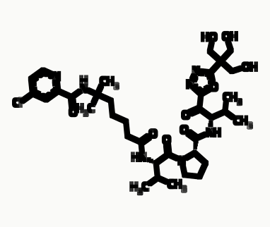 CC(C)[C@H](NC(=O)[C@@H]1CCCN1C(=O)[C@@H](NC(=O)CCCCC(C)(C)NC(=O)c1cc(Cl)ccn1)C(C)C)C(=O)c1nnc(C(CO)(CO)CO)o1